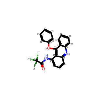 O=C(Nc1cccc2nc3ccccc3c(Oc3ccccc3)c12)C(F)(F)F